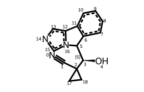 N#CC1([C@H](O)C2c3ccccc3-c3cncn32)CC1